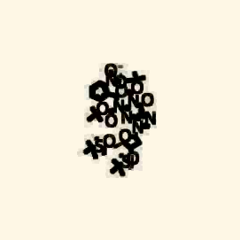 CC(C)(C)OC(=O)N(Cc1ccccc1[N+](=O)[O-])c1nc2c(ncn2[C@H]2CC(O[Si](C)(C)C(C)(C)C)[C@@H](CO[Si](C)(C)C(C)(C)C)O2)c(=O)n1C(=O)OC(C)(C)C